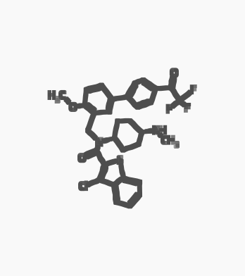 CN[C@H]1CC[C@@H](N(Cc2cc(-c3ccc(C(=O)C(F)(F)F)cc3)ccc2OC)C(=O)c2sc3ccccc3c2Cl)CC1